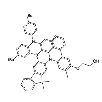 Cc1cc2c3c(c1)N(c1cc(C)c(OCCO)cc1-c1ccccc1)c1cc4c(cc1B3c1cc(C(C)(C)C)ccc1N2c1ccc(C(C)(C)C)cc1)-c1ccccc1C4(C)C